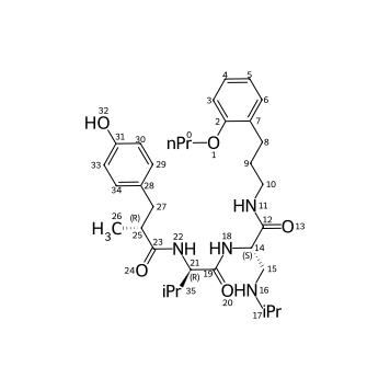 CCCOc1ccccc1CCCNC(=O)[C@H](CNC(C)C)NC(=O)[C@H](NC(=O)[C@H](C)Cc1ccc(O)cc1)C(C)C